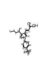 CCCC(C)c1nn(-c2ccc(C(F)(F)F)cn2)cc1C=CC(=O)O